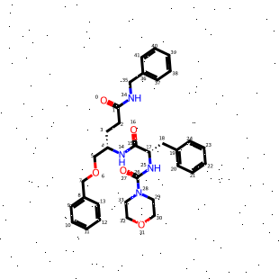 O=C(CC[C@@H](COCc1ccccc1)NC(=O)[C@H](Cc1ccccc1)NC(=O)N1CCOCC1)NCc1ccccc1